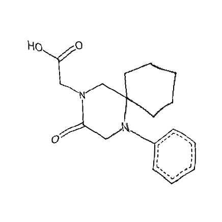 O=C(O)CN1CC2(CCCCC2)N(c2ccccc2)CC1=O